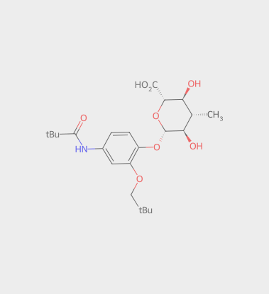 C[C@@H]1[C@@H](O)[C@H](Oc2ccc(NC(=O)C(C)(C)C)cc2OCC(C)(C)C)O[C@H](C(=O)O)[C@H]1O